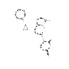 O=c1[nH]cc(-c2cc([C@@H]3C[C@H]3c3ccccc3)c3ncc(F)n3n2)c(=O)[nH]1